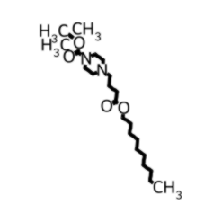 CCCCCCCCCCOC(=O)CCCN1CCN(C(=O)OC(C)(C)C)CC1